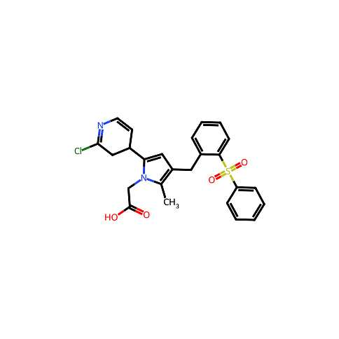 Cc1c(Cc2ccccc2S(=O)(=O)c2ccccc2)cc(C2C=CN=C(Cl)C2)n1CC(=O)O